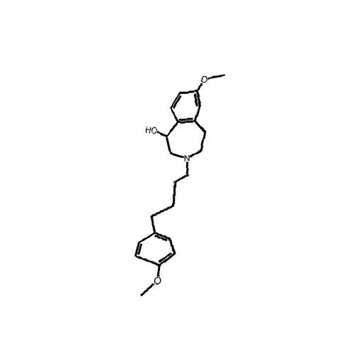 COc1ccc(CCCCN2CCc3cc(OC)ccc3C(O)C2)cc1